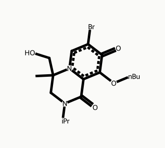 CCCCOc1c2n(cc(Br)c1=O)C(C)(CO)CN(C(C)C)C2=O